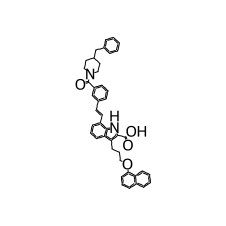 O=C(O)c1[nH]c2c(/C=C/c3cccc(C(=O)N4CCC(Cc5ccccc5)CC4)c3)cccc2c1CCCOc1cccc2ccccc12